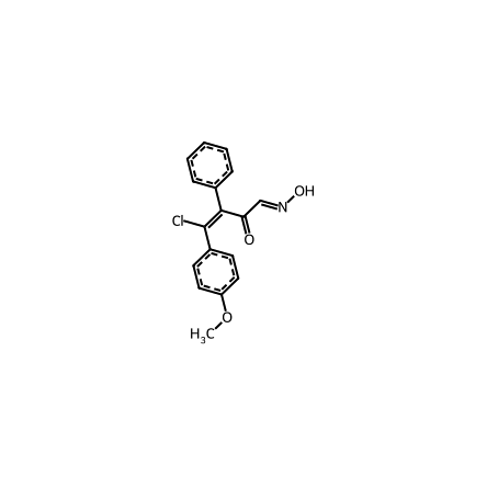 COc1ccc(C(Cl)=C(C(=O)C=NO)c2ccccc2)cc1